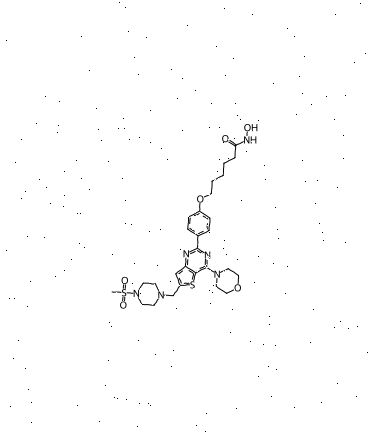 CS(=O)(=O)N1CCN(Cc2cc3nc(-c4ccc(OCCCCCC(=O)NO)cc4)nc(N4CCOCC4)c3s2)CC1